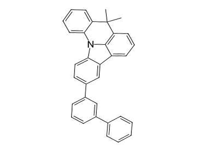 CC1(C)c2ccccc2-n2c3ccc(-c4cccc(-c5ccccc5)c4)cc3c3cccc1c32